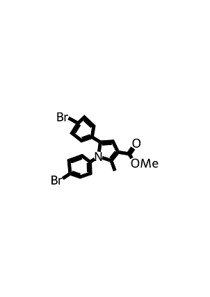 COC(=O)c1cc(-c2ccc(Br)cc2)n(-c2ccc(Br)cc2)c1C